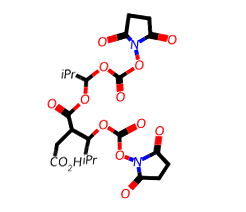 CC(C)C(OC(=O)ON1C(=O)CCC1=O)OC(=O)C(CC(=O)O)C(OC(=O)ON1C(=O)CCC1=O)C(C)C